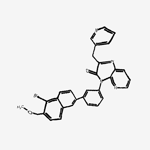 COc1ccc2cc(-c3cccc(-n4c(=O)c(Cc5cccnc5)nc5cccnc54)c3)ccc2c1Br